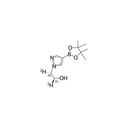 [2H][C@H](O)[C@H]([2H])n1cc(B2OC(C)(C)C(C)(C)O2)cn1